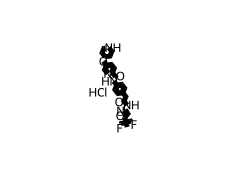 CC(CF)(CF)c1cc(NC(=O)Cc2ccc(NC(=O)c3ccc(OC4CCNCC4)cn3)cc2)no1.Cl